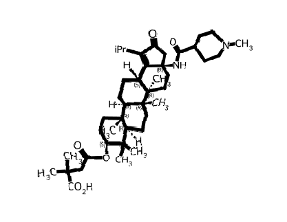 CC(C)C1=C2[C@H]3CC[C@@H]4[C@@]5(C)CC[C@H](OC(=O)CC(C)(C)C(=O)O)C(C)(C)[C@@H]5CC[C@@]4(C)[C@]3(C)CC[C@@]2(NC(=O)C2CCN(C)CC2)CC1=O